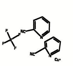 F[B-](F)(F)F.N#Cc1ccccn1.N#Cc1ccccn1.[Cu+]